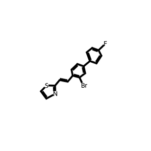 Fc1ccc(-c2ccc(C=Cc3nccs3)c(Br)c2)cc1